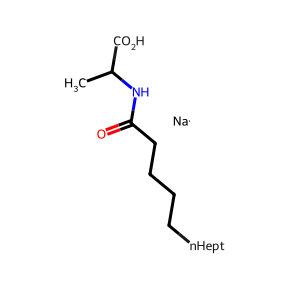 CCCCCCCCCCCC(=O)NC(C)C(=O)O.[Na]